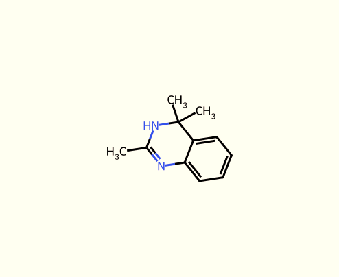 CC1=Nc2ccccc2C(C)(C)N1